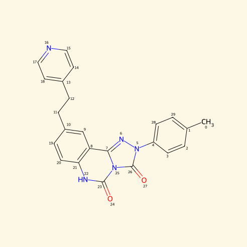 Cc1ccc(-n2nc3c4cc(CCc5ccncc5)ccc4[nH]c(=O)n3c2=O)cc1